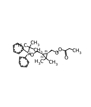 CCC(=O)OOC[C@@H]1[C@H](CO[Si](c2ccccc2)(c2ccccc2)C(C)(C)C)C1(C)C